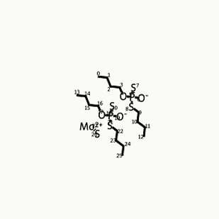 CCCCOP([O-])(=S)SCCCC.CCCCOP([O-])(=S)SCCCC.[S]=[Mo+2]